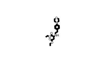 CCOC(=O)CC(NCCc1ccc(N2CCOCC2)cc1)C(=O)OCC